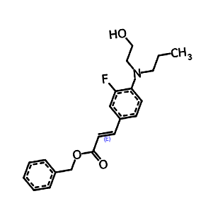 CCCN(CCO)c1ccc(/C=C/C(=O)OCc2ccccc2)cc1F